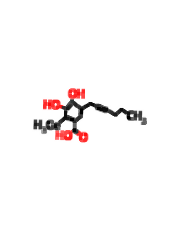 CCCC#CCc1cc(C(=O)O)[c]([GeH3])c(O)c1O